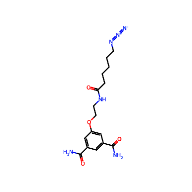 [N-]=[N+]=NCCCCCC(=O)NCCOc1cc(C(N)=O)cc(C(N)=O)c1